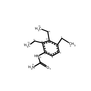 CCc1ccc(NC(N)=O)c(CC)c1CC